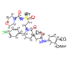 COc1cc(NC(=O)C[C@@]2(C)CC[C@@H](c3ccc(Cl)cc3)N(CCS(=O)(=NC(=O)N3CCOCC3)C(C)C)C2=O)ccc1C(=O)O